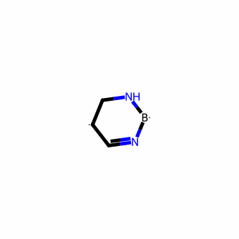 [B]1N=C[CH]CN1